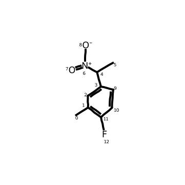 Cc1cc(C(C)[N+](=O)[O-])ccc1F